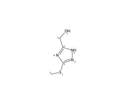 CSc1n[nH]c(CO)n1